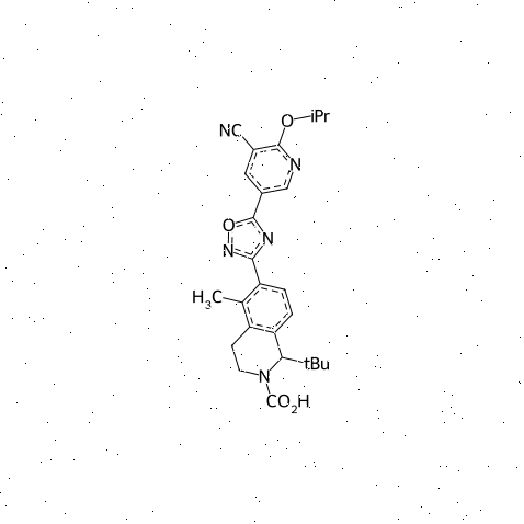 Cc1c(-c2noc(-c3cnc(OC(C)C)c(C#N)c3)n2)ccc2c1CCN(C(=O)O)C2C(C)(C)C